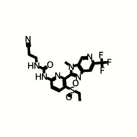 CCS(=O)(=O)c1ccc(NC(=O)NCCC#N)nc1-c1nc2cc(C(F)(F)F)ncc2n1C